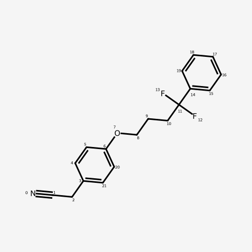 N#CCc1ccc(OCCCC(F)(F)c2ccccc2)cc1